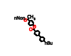 CCCCCCCCCOC(C)c1ccc(OC(=O)c2ccc(-c3ccc(CCCC)cc3)cc2)cc1